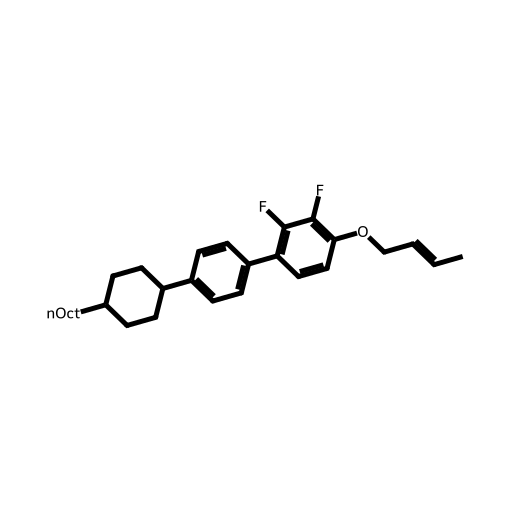 C/C=C/COc1ccc(-c2ccc(C3CCC(CCCCCCCC)CC3)cc2)c(F)c1F